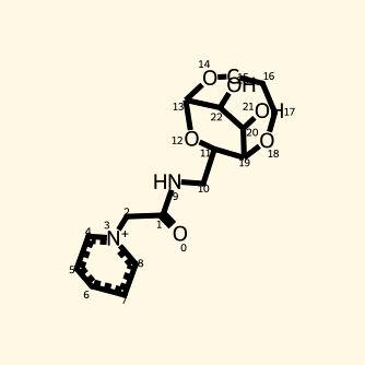 O=C(C[n+]1ccccc1)NCC1OC2OCCCOC1C(O)C2O